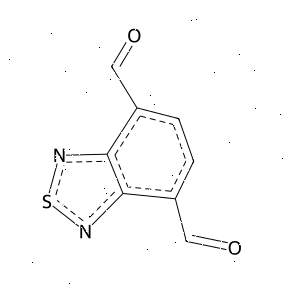 O=Cc1ccc(C=O)c2nsnc12